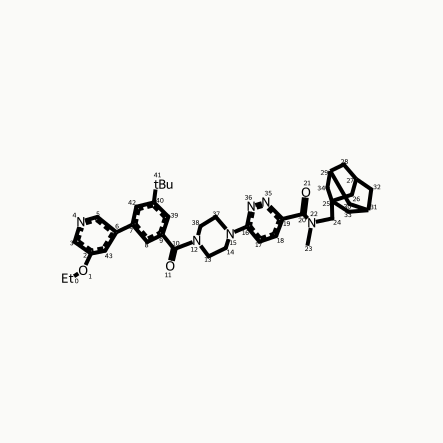 CCOc1cncc(-c2cc(C(=O)N3CCN(c4ccc(C(=O)N(C)CC56CC7CC(CC(C7)C5)C6)nn4)CC3)cc(C(C)(C)C)c2)c1